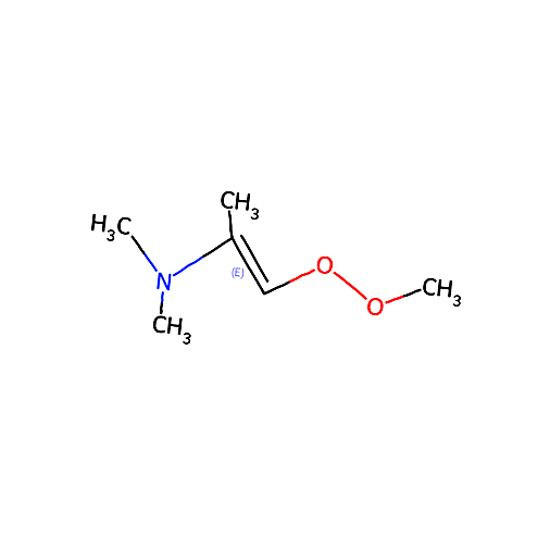 COO/C=C(\C)N(C)C